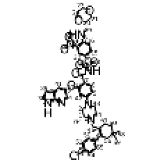 C[C@@H]1CN(c2ccc(C(=O)NS(=O)(=O)c3ccc(NC[C@H]4COCCO4)c([N+](=O)[O-])c3)c(Oc3cnc4[nH]ccc4c3)c2)CCN1CC1=C(c2ccc(Cl)cc2)CC(C)(C)CC1